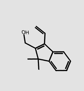 C=CC1=C(CO)C(C)(C)c2ccccc21